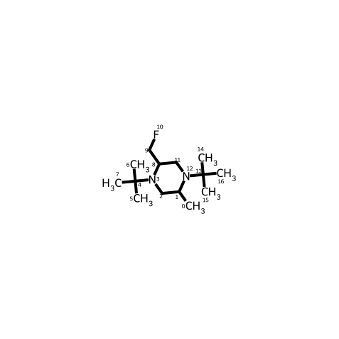 CC1CN(C(C)(C)C)C(CF)CN1C(C)(C)C